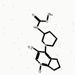 CC(C)(C)OC(=O)NC1CCCN(c2c([N+](=O)[O-])c[n+]([O-])c3c2CCC3)C1